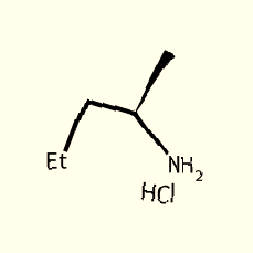 CCC[C@@H](C)N.Cl